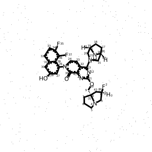 [2H][C@]1(F)CN2CCC[C@@]2(COc2nc(N3C[C@H]4CC[C@@H](C3)N4)c3ccn(-c4cc(O)cc5ccc(F)c(F)c45)c(=O)c3n2)C1